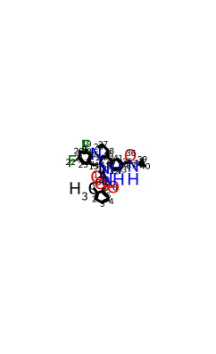 Cc1ccccc1S(=O)(=O)NC(=O)N[C@@H](Cc1cc(F)cc(F)c1)c1ncccc1-c1cccc(C(=O)NC2CC2)c1